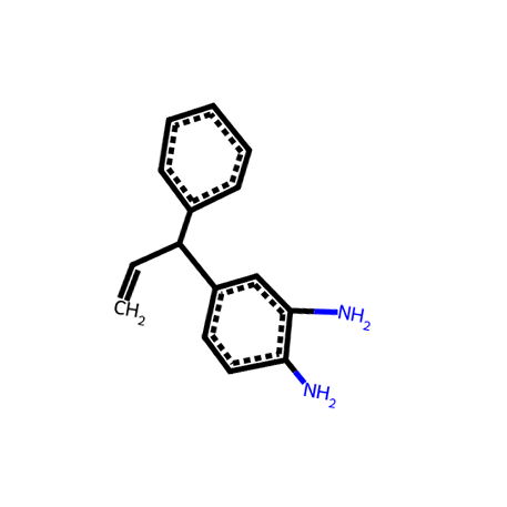 C=CC(c1ccccc1)c1ccc(N)c(N)c1